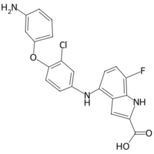 Nc1cccc(Oc2ccc(Nc3ccc(F)c4[nH]c(C(=O)O)cc34)cc2Cl)c1